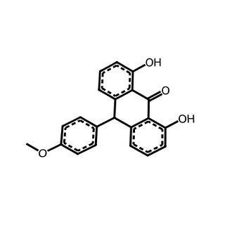 COc1ccc(C2c3cccc(O)c3C(=O)c3c(O)cccc32)cc1